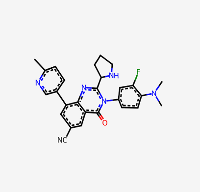 Cc1ccc(-c2cc(C#N)cc3c(=O)n(-c4ccc(N(C)C)c(F)c4)c(C4CCCN4)nc23)cn1